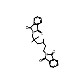 CC(CCN1C(=O)c2ccccc2C1=O)CC(C)(C)CN1C(=O)c2ccccc2C1=O